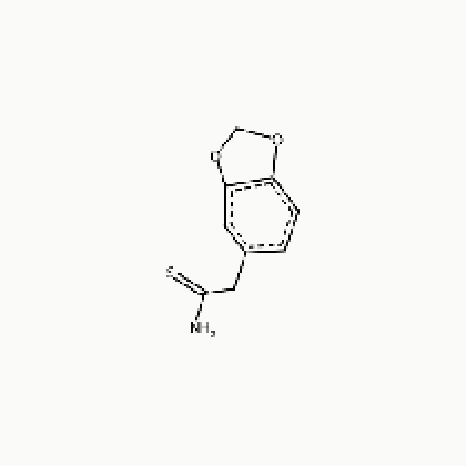 NC(=S)Cc1ccc2c(c1)OCO2